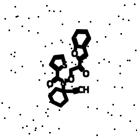 C#CC1(N(OCC(=O)c2cc3ccccc3o2)C(=O)c2cccs2)CCCCC1